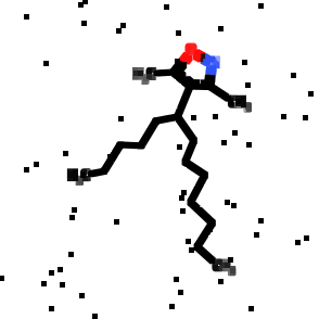 CCCCCCCC(CCCCC)c1c(C)noc1C